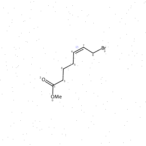 COC(=O)CCC/C=C\CBr